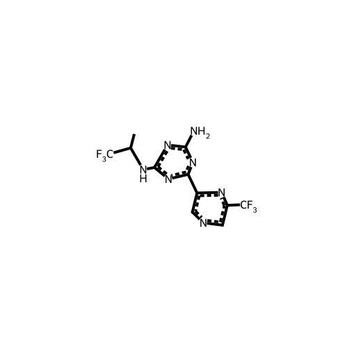 CC(Nc1nc(N)nc(-c2cncc(C(F)(F)F)n2)n1)C(F)(F)F